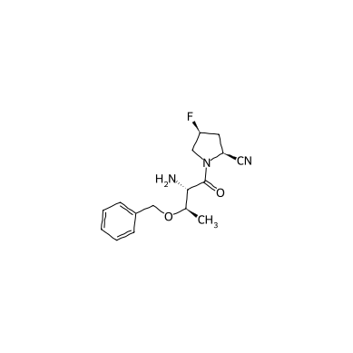 C[C@@H](OCc1ccccc1)[C@H](N)C(=O)N1C[C@@H](F)C[C@H]1C#N